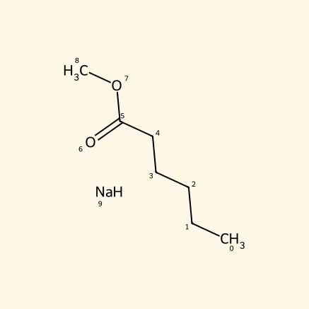 CCCCCC(=O)OC.[NaH]